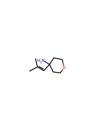 CC(C)=CC1(N)CCOCC1